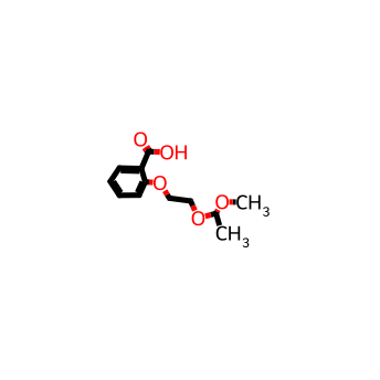 COC(C)OCCOc1ccccc1C(=O)O